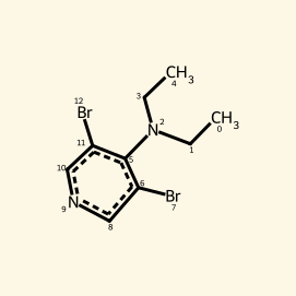 CCN(CC)c1c(Br)cncc1Br